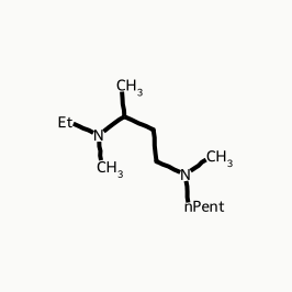 CCCCCN(C)CCC(C)N(C)CC